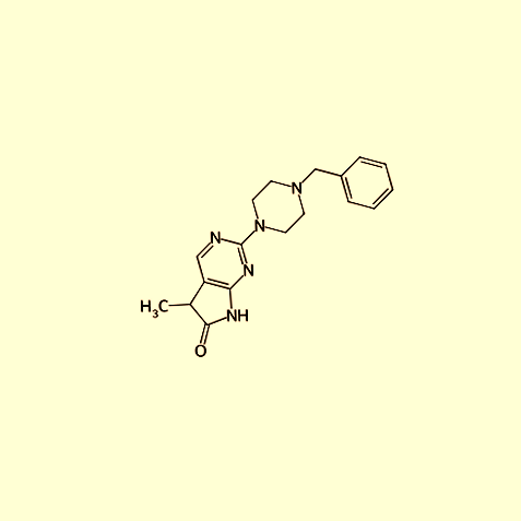 CC1C(=O)Nc2nc(N3CCN(Cc4ccccc4)CC3)ncc21